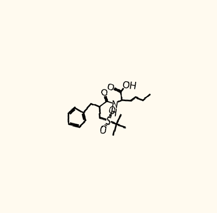 CCCCC(NC(=O)C(Cc1ccccc1)CS(=O)(=O)C(C)(C)C)C(=O)O